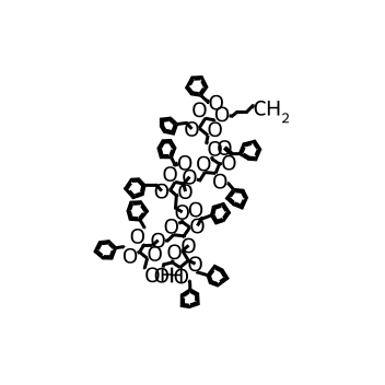 C=CCCCOC1OC(COC2OC(COC3OC(COC4OC(COC5OC(CO)C(OCc6ccccc6)C5OCc5ccccc5)C(OC5OC(CO)C(OCc6ccccc6)C5OCc5ccccc5)C4OC(=O)c4ccccc4)C(OCc4ccccc4)C3OC(=O)c3ccccc3)C(OCc3ccccc3)C2OC(=O)c2ccccc2)C(OCc2ccccc2)C1OC(=O)c1ccccc1